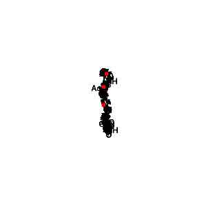 CC(=O)N(c1ccc(N2CCN(C3CCN(c4ccc5c(c4)C(=O)N(C4CCC(=O)NC4=O)C5=O)C3)CC2)cc1)C1CCC(Nc2ncc3ccccc3n2)CC1